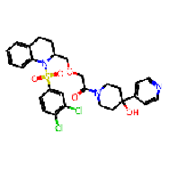 O=C(COCC1CCc2ccccc2N1S(=O)(=O)c1ccc(Cl)c(Cl)c1)N1CCC(O)(c2ccncc2)CC1